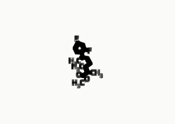 C=C(/C=C\C(C)=C(/C)C(=O)OC)c1ccc(F)cc1F